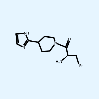 CC(C)C[C@@H](N)C(=O)N1CCC(c2ncc[nH]2)CC1